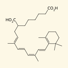 CC(C=C/C=C(/C)C=CC1=C(C)CCCC1(C)C)=CCC(CCCCCC(=O)O)C(=O)O